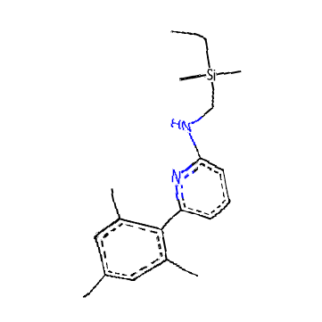 CC[Si](C)(C)CNc1cccc(-c2c(C)cc(C)cc2C)n1